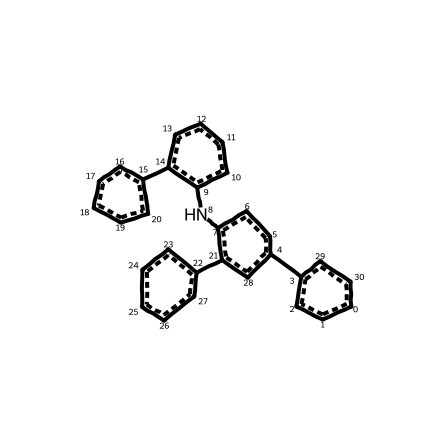 c1ccc(-c2ccc(Nc3ccccc3-c3ccccc3)c(-c3ccccc3)c2)cc1